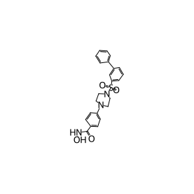 O=C(NO)c1ccc(N2CCN(S(=O)(=O)c3cccc(-c4ccccc4)c3)CC2)cc1